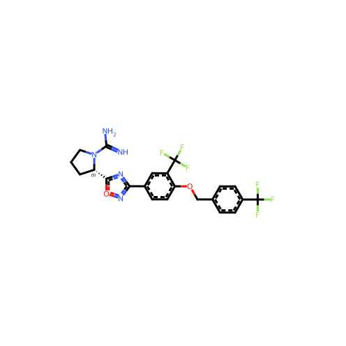 N=C(N)N1CCC[C@H]1c1nc(-c2ccc(OCc3ccc(C(F)(F)F)cc3)c(C(F)(F)F)c2)no1